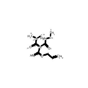 C=CCOC(=N)N(C(=O)NSC)C(=O)N(C)C